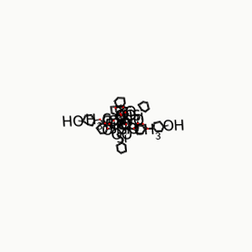 C[Si]1(CCc2ccc(O)cc2)O[Si]2(c3ccccc3)O[Si]3(c4ccccc4)O[Si]4(c5ccccc5)O[Si](C)(CCc5ccc(O)cc5)O[Si]5(c6ccccc6)O[Si](c6ccccc6)(O[Si](c6ccccc6)(O1)O[Si](c1ccccc1)(O5)O[Si](c1ccccc1)(O2)O4)O3